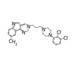 Cc1ccc2ncc3c(c2c1)=NCN(CCCN1CCN(c2cccc(Cl)c2Cl)CC1)C=3